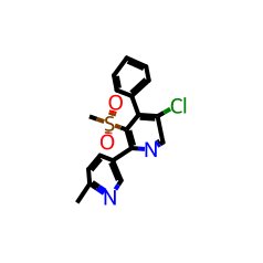 Cc1ccc(-c2ncc(Cl)c(-c3ccccc3)c2S(C)(=O)=O)cn1